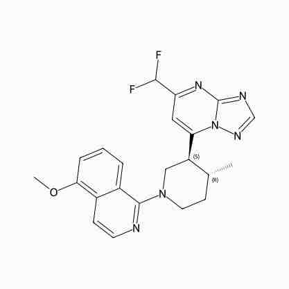 COc1cccc2c(N3CC[C@@H](C)[C@H](c4cc(C(F)F)nc5ncnn45)C3)nccc12